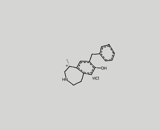 C[C@H]1CNCCc2cc(O)c(Cc3ccccc3)cc21.Cl